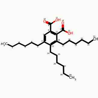 CCCCCCc1cc(C(=O)O)c(C(=O)O)c(CCCCCC)c1CCCCCC